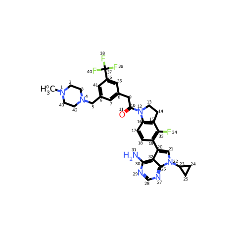 CN1CCN(Cc2cc(CC(=O)N3CCc4c3ccc(-c3cn(C5CC5)c5ncnc(N)c35)c4F)cc(C(F)(F)F)c2)CC1